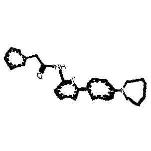 O=C(Cc1ccccc1)Nc1cccc(-c2ccc(N3CCCCC3)cc2)n1